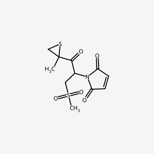 CC1(C(=O)C(CS(C)(=O)=O)N2C(=O)C=CC2=O)CS1